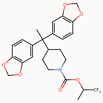 CC(OC(=O)N1CCC(C(C)(c2ccc3c(c2)OCO3)c2ccc3c(c2)OCO3)CC1)C(F)(F)F